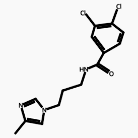 Cc1cn(CCCNC(=O)c2ccc(Cl)c(Cl)c2)cn1